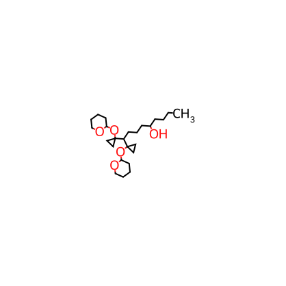 CCCCC(O)CCCC(C1(OC2CCCCO2)CC1)C1(OC2CCCCO2)CC1